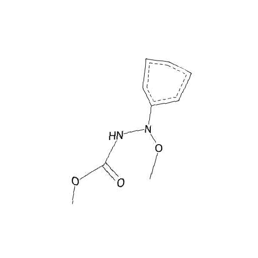 COC(=O)NN(OC)c1ccccc1